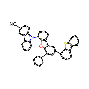 N#Cc1ccc2c(c1)c1ccccc1n2-c1cccc2c1oc1c(-c3ccccc3)cc(-c3cccc4c3sc3ccccc34)cc12